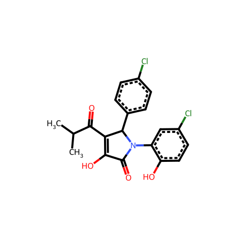 CC(C)C(=O)C1=C(O)C(=O)N(c2cc(Cl)ccc2O)C1c1ccc(Cl)cc1